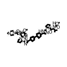 COC(=O)NC(C(=O)N1CCC[C@H]1c1ncc(-c2ccc(-c3ccc(-c4cnc([C@@H]5CCCN5C(=O)[C@H](CC(=O)N5CCN(C)CC5)NC(=O)OC)[nH]4)cc3)cc2)[nH]1)C(C)C